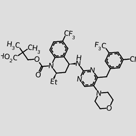 CC[C@@H]1C[C@H](Nc2ncc(N3CCOCC3)c(Cc3cc(C#N)cc(C(F)(F)F)c3)n2)c2cc(C(F)(F)F)ccc2N1C(=O)OCC(C)(C)C(=O)O